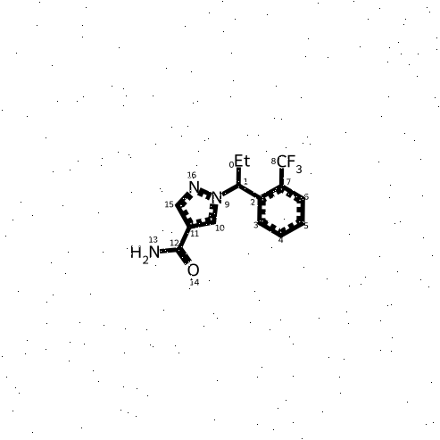 CCC(c1ccccc1C(F)(F)F)n1cc(C(N)=O)cn1